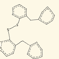 c1ccc(Cc2ccccc2SSc2ccccc2Cc2ccccc2)cc1